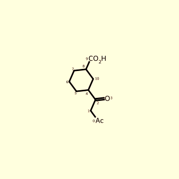 CC(=O)CC(=O)C1CCCC(C(=O)O)C1